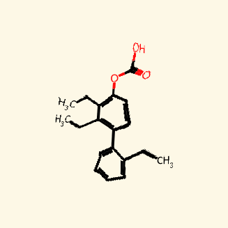 CCc1ccccc1-c1ccc(OC(=O)O)c(CC)c1CC